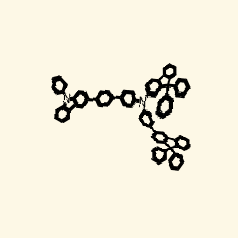 c1ccc(-n2c3ccccc3c3cc(-c4ccc(-c5ccc(N(c6ccc(-c7ccc8c(c7)-c7ccccc7C8(c7ccccc7)c7ccccc7)cc6)c6ccc7c(c6)C(c6ccccc6)(c6ccccc6)c6ccccc6-7)cc5)cc4)ccc32)cc1